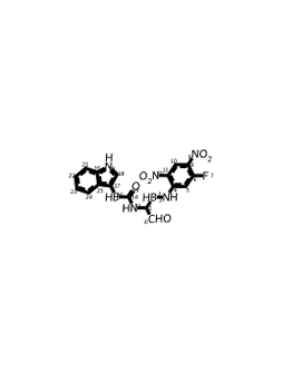 O=CC(BNc1cc(F)c([N+](=O)[O-])cc1[N+](=O)[O-])NC(=O)Bc1c[nH]c2ccccc12